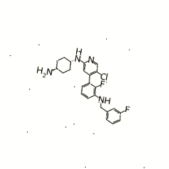 N[C@H]1CC[C@H](Nc2cc(-c3cccc(NCc4cccc(F)c4)c3F)c(Cl)cn2)CC1